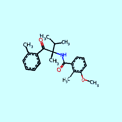 COc1cccc(C(=O)NC(C)(C(=O)c2ccccc2C)C(C)C)c1C